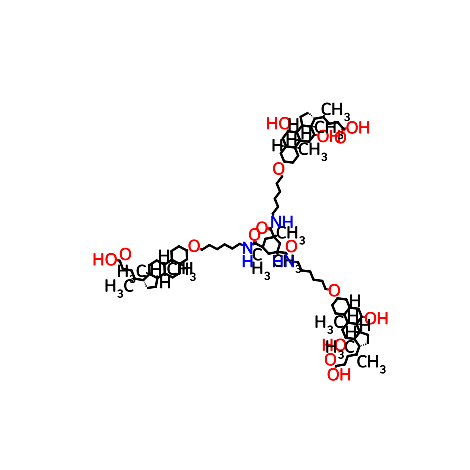 C[C@H](CCC(=O)O)[C@H]1CC[C@H]2[C@@H]3CC[C@@H]4C[C@@H](OCCCCCCNC(=O)C5(C)CC(C)(C(=O)NCCCCCCO[C@H]6CC[C@@]7(C)[C@@H](C6)C[C@@H](O)[C@@H]6[C@@H]7C[C@H](O)[C@]7(C)[C@@H]([C@H](C)CCC(=O)O)CC[C@@H]67)CC(C)(C(=O)NCCCCCCO[C@H]6CC[C@@]7(C)[C@@H](C6)C[C@@H](O)[C@@H]6[C@@H]7C[C@H](O)[C@]7(C)[C@@H]([C@H](C)CCC(=O)O)CC[C@@H]67)C5)CC[C@]4(C)[C@H]3CC[C@]12C